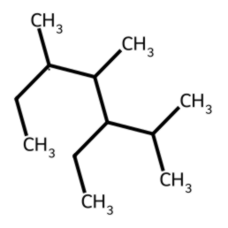 CC[C](C)C(C)C(CC)C(C)C